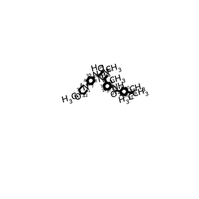 COC1CCN(c2ccc(Nc3nc(-c4cccc(NC(=O)c5ccc(C(C)(C)C)cc5)c4C)cn(C)c3=O)cc2)CC1